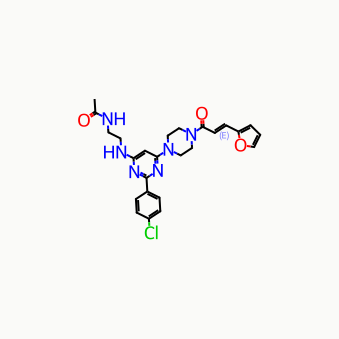 CC(=O)NCCNc1cc(N2CCN(C(=O)/C=C/c3ccco3)CC2)nc(-c2ccc(Cl)cc2)n1